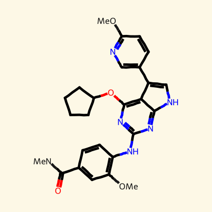 CNC(=O)c1ccc(Nc2nc(OC3CCCC3)c3c(-c4ccc(OC)nc4)c[nH]c3n2)c(OC)c1